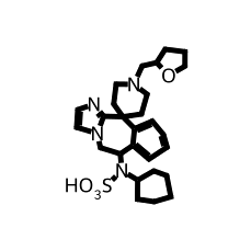 O=S(=O)(O)N(C1CCCCC1)C1Cn2ccnc2C2(CCN(CC3CCCO3)CC2)c2ccccc21